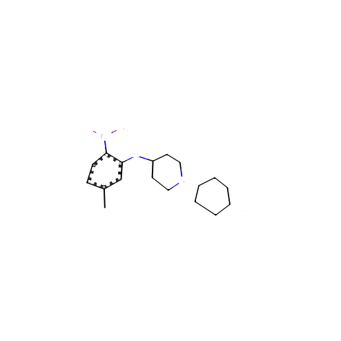 Cc1ccc([NH+]([O-])O)c(NC2CCN([C@H]3CC[C@@H](O)CC3)CC2)c1